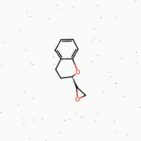 c1ccc2c(c1)CC[C@H](C1CO1)O2